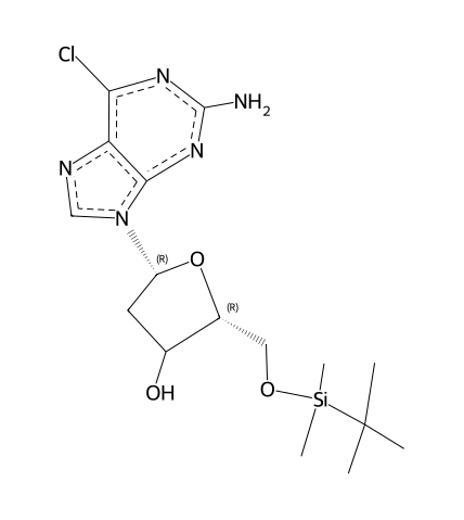 CC(C)(C)[Si](C)(C)OC[C@H]1O[C@@H](n2cnc3c(Cl)nc(N)nc32)CC1O